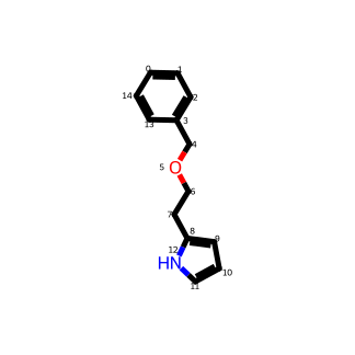 c1ccc(COCCc2ccc[nH]2)cc1